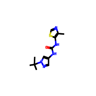 Cc1ncsc1NC(=O)Nc1cnn(C(C)(C)C)c1